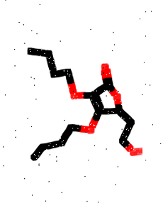 CCCCOC1=C(OCCCC)C(CCO)OC1=O